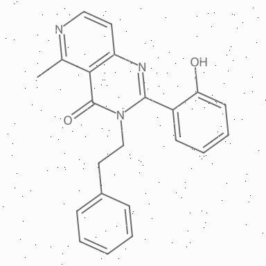 Cc1nccc2nc(-c3ccccc3O)n(CCc3ccccc3)c(=O)c12